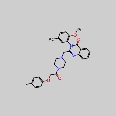 CC(=O)c1ccc(OC(C)C)c(-n2c(CN3CCN(C(=O)COc4ccc(C)cc4)CC3)nc3ccccc3c2=O)c1